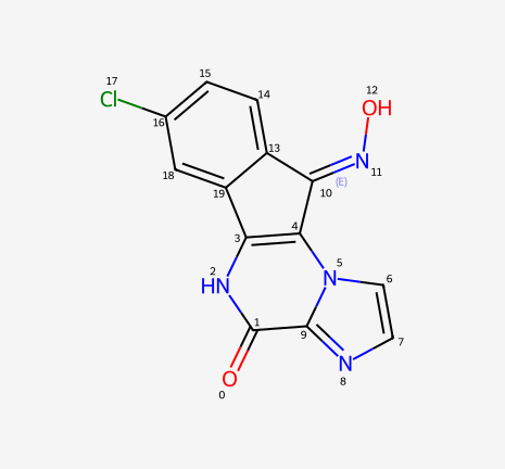 O=c1[nH]c2c(n3ccnc13)/C(=N/O)c1ccc(Cl)cc1-2